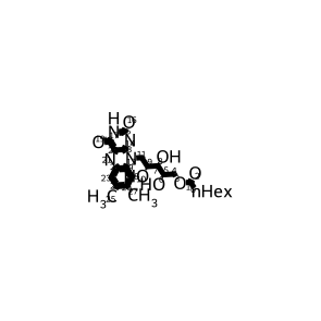 CCCCCCC(=O)OC[C@H](O)[C@H](O)[C@H](O)Cn1c2nc(=O)[nH]c(=O)c-2nc2cc(C)c(C)cc21